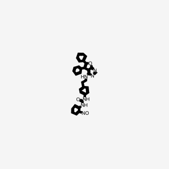 O=Nc1ccccc1NC(=O)Nc1ccc(CCNc2ncnc3oc(-c4ccccc4)c(-c4ccccc4)c23)cc1